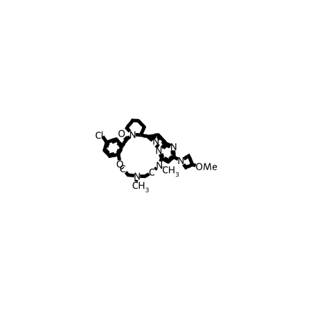 COC1CN(c2cc3n4nc(cc4n2)C2CCCCN2C(=O)c2cc(Cl)ccc2OCCN(C)CCN3C)C1